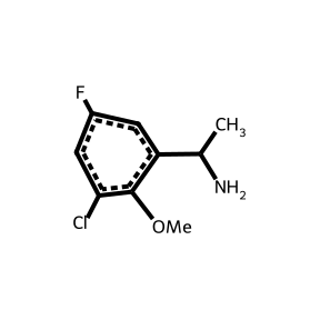 COc1c(Cl)cc(F)cc1C(C)N